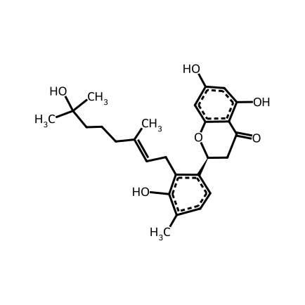 C/C(=C\Cc1c([C@@H]2CC(=O)c3c(O)cc(O)cc3O2)ccc(C)c1O)CCCC(C)(C)O